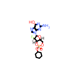 C[C@@]1(F)[C@@H]2O[P@](=O)(OC3CCCCC3)OC[C@H]2O[C@H]1n1cnc2c(O)nc(N)nc21